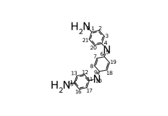 Nc1ccc(N=C2C=CC(=Nc3ccc(N)cc3)C=C2)cc1